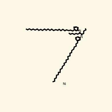 CCCCCCCCCCCCCCCCCCCCCCCCCCc1cccc(/N=C(CCCC)\C(CCCCCC)=N\c2cccc(CCCCCCCCCCCCCCCCCCCCCCCCCC)c2)c1.[Ni]